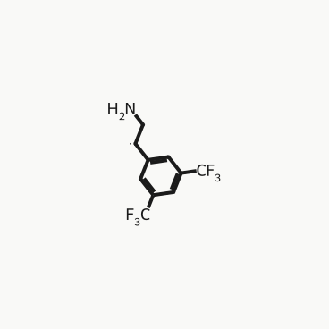 NC[CH]c1cc(C(F)(F)F)cc(C(F)(F)F)c1